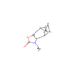 CC(=O)N1C(=O)OC2C1C1C=CC2C12CC2